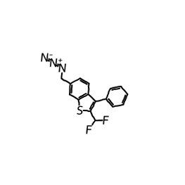 [N-]=[N+]=NCc1ccc2c(-c3ccccc3)c(C(F)F)sc2c1